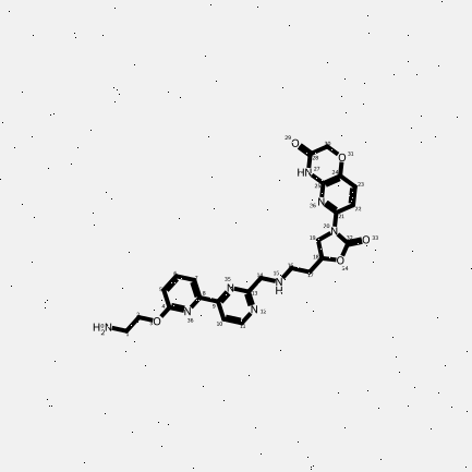 NCCOc1cccc(-c2ccnc(CNCCC3CN(c4ccc5c(n4)NC(=O)CO5)C(=O)O3)n2)n1